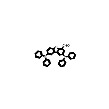 O=Cc1cc(P(c2ccccc2)c2ccccc2)cc2c1oc1ccc(P(c3ccccc3)c3ccccc3)cc12